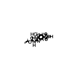 CCOC(=O)Nc1nc2cc(S(=O)(=O)O)ccc2[nH]1.Cl